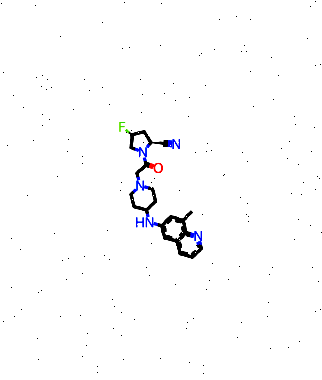 Cc1cc(NC2CCN(CC(=O)N3C[C@@H](F)C[C@H]3C#N)CC2)cc2cccnc12